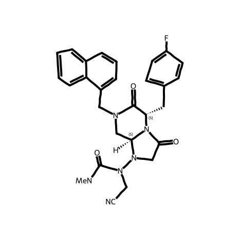 CNC(=O)N(CC#N)N1CC(=O)N2[C@@H](Cc3ccc(F)cc3)C(=O)N(Cc3cccc4ccccc34)C[C@@H]21